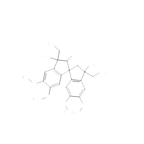 CCC1(C)CC2(c3cc(OC)c(OC)cc31)c1cc(OC)c(OC)cc1C(C)(CC)C2C